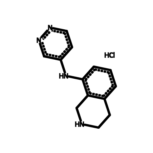 Cl.c1cc2c(c(Nc3ccnnc3)c1)CNCC2